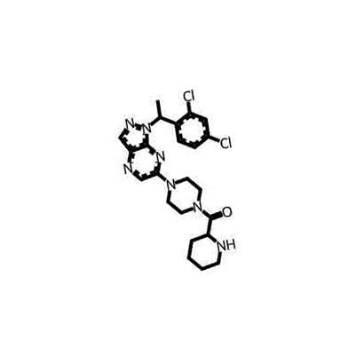 CC(c1ccc(Cl)cc1Cl)n1ncc2ncc(N3CCN(C(=O)C4CCCCN4)CC3)nc21